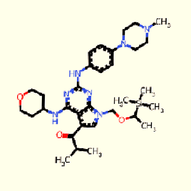 CC(C)C(=O)c1cn(COC(C)[Si](C)(C)C)c2nc(Nc3ccc(N4CCN(C)CC4)cc3)nc(NC3CCOCC3)c12